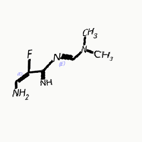 CN(C)/C=N/C(=N)/C(F)=C\N